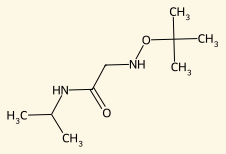 CC(C)NC(=O)CNOC(C)(C)C